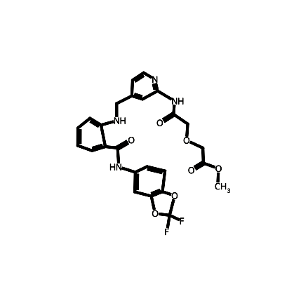 COC(=O)COCC(=O)Nc1cc(CNc2ccccc2C(=O)Nc2ccc3c(c2)OC(F)(F)O3)ccn1